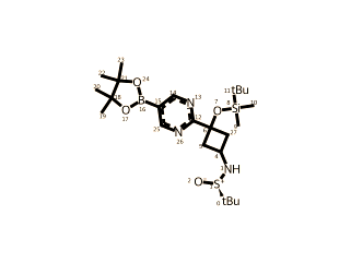 CC(C)(C)[S@@+]([O-])NC1CC(O[Si](C)(C)C(C)(C)C)(c2ncc(B3OC(C)(C)C(C)(C)O3)cn2)C1